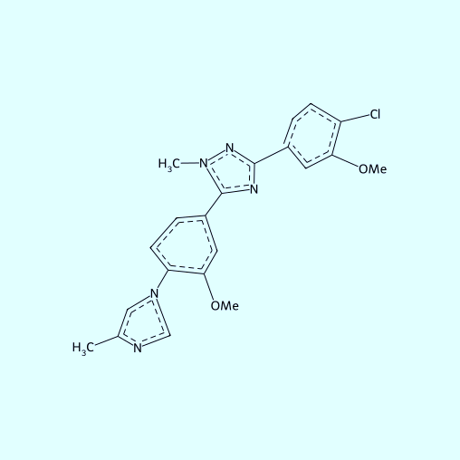 COc1cc(-c2nc(-c3ccc(-n4cnc(C)c4)c(OC)c3)n(C)n2)ccc1Cl